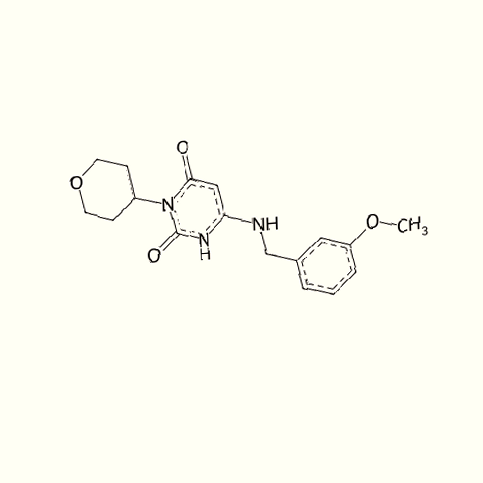 COc1cccc(CNc2cc(=O)n(C3CCOCC3)c(=O)[nH]2)c1